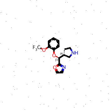 FC(F)(F)Oc1ccccc1O[C@H](c1ncco1)[C@@H]1CCNC1